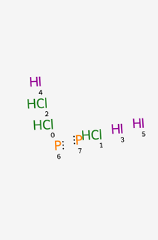 Cl.Cl.Cl.I.I.I.[P].[P]